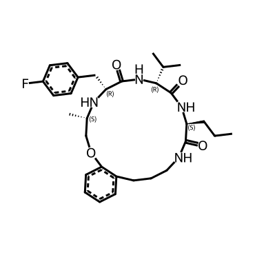 CCC[C@@H]1NC(=O)[C@@H](C(C)C)NC(=O)[C@@H](Cc2ccc(F)cc2)N[C@@H](C)COc2ccccc2CCCNC1=O